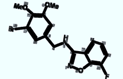 COc1cc(CNc2noc3c(F)cccc23)cc(Br)c1OC